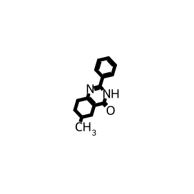 CC1CCc2nc(-c3ccccc3)[nH]c(=O)c2C1